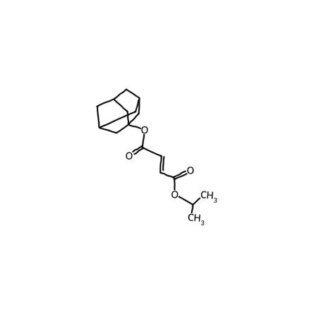 CC(C)OC(=O)/C=C/C(=O)OC12CC3CC(CC(C3)C1)C2